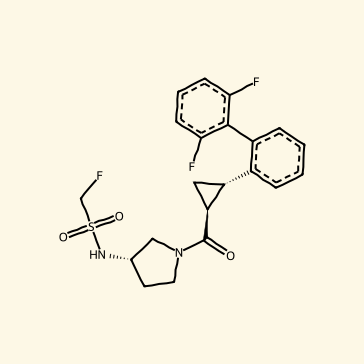 O=C([C@H]1C[C@@H]1c1ccccc1-c1c(F)cccc1F)N1CC[C@H](NS(=O)(=O)CF)C1